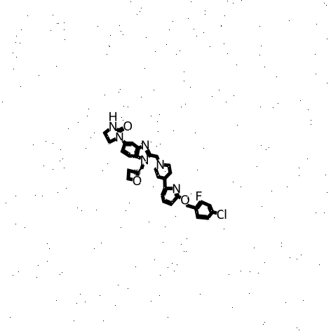 O=C1NCCN1c1ccc2c(c1)nc(CN1CCC(c3cccc(OCc4ccc(Cl)cc4F)n3)CC1)n2C[C@@H]1CCO1